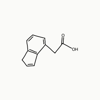 O=C(O)Cc1cccc2c1C=CC2